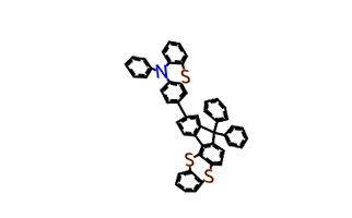 c1ccc(N2c3ccccc3Sc3cc(-c4ccc5c(c4)C(c4ccccc4)(c4ccccc4)c4ccc6c(c4-5)Sc4ccccc4S6)ccc32)cc1